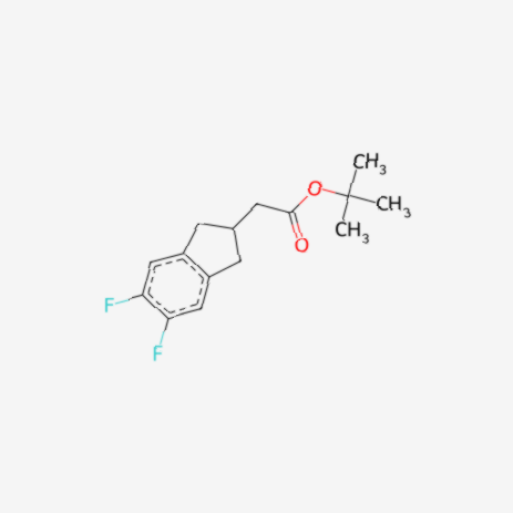 CC(C)(C)OC(=O)CC1Cc2cc(F)c(F)cc2C1